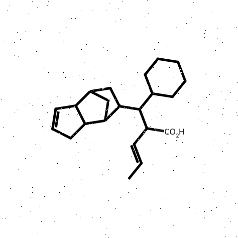 CC=CC(C(=O)O)C(C1CCCCC1)C1CC2CC1C1CC=CC21